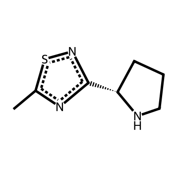 Cc1nc([C@@H]2CCCN2)ns1